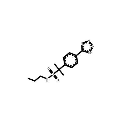 CCCNS(=O)(=O)C(C)(C)c1ccc(-c2nnn[nH]2)cc1